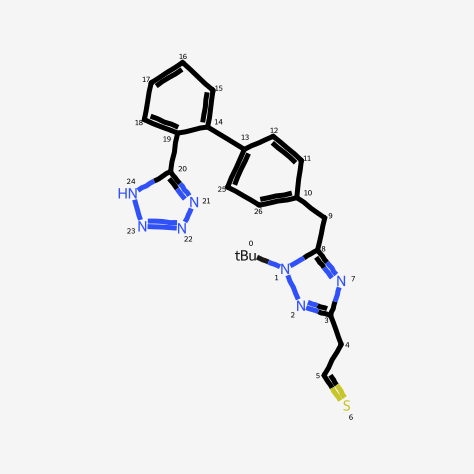 CC(C)(C)n1nc(CC=S)nc1Cc1ccc(-c2ccccc2-c2nnn[nH]2)cc1